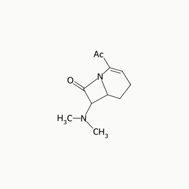 CC(=O)C1=CCCC2C(N(C)C)C(=O)N12